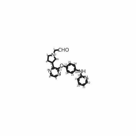 O=CCN1CCC(c2nccnc2Oc2ccc(Nc3ccccn3)cc2)C1